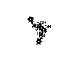 O=C(NC(=O)c1cc(C(=O)NC(=O)OCc2ccccc2)c(C(=O)O)cc1C(=O)O)OCc1ccccc1